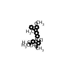 COc1ccc2c(c1)C(C)(c1ccccc1)c1cc3cc(-n4c5ccc(C(C)(C)C)cc5c5c(OC)ccc(Cl)c54)ccc3cc1-2